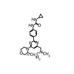 C[C@H]1COCCN1c1cc(CN(C)C)nc(-c2ccc(NC(=O)NC3CC3)cc2)n1